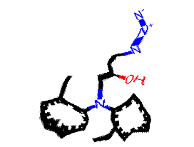 Cc1ccccc1N(C[C@H](O)CN=[N+]=[N-])c1ccccc1C